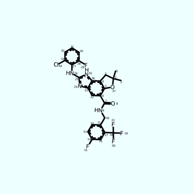 CC1(C)Cc2c(c(C(=O)NCc3ccc(F)cc3C(F)(F)F)cc3nc(Nc4c(F)cccc4Cl)[nH]c23)O1